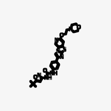 CC(C)(C)c1cc(NC(=O)Nc2ccc(-c3cn4c(n3)sc3cc(OCCN5CCOCC5)ncc34)cc2)no1